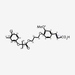 COc1cc(/C=C/C(=O)O)ccc1OCCCOC(=O)C(C)(C)Oc1ccc(Cl)c(C)c1